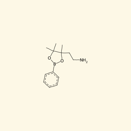 CC1(C)OB(c2ccccc2)OC1(C)CCN